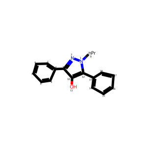 CCCn1nc(-c2ccccc2)c(O)c1-c1ccccc1